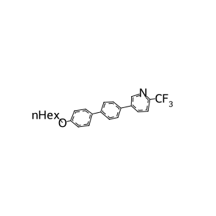 CCCCCCOc1ccc(-c2ccc(-c3ccc(C(F)(F)F)nc3)cc2)cc1